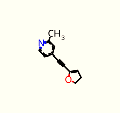 Cc1cc(C#CC2=CCCO2)ccn1